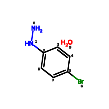 NNc1ccc(Br)cc1.O